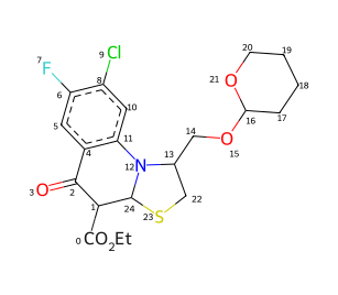 CCOC(=O)C1C(=O)c2cc(F)c(Cl)cc2N2C(COC3CCCCO3)CSC12